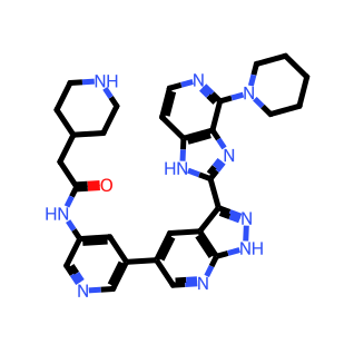 O=C(CC1CCNCC1)Nc1cncc(-c2cnc3[nH]nc(-c4nc5c(N6CCCCC6)nccc5[nH]4)c3c2)c1